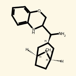 CN1[C@@H]2CC[C@H]1C[C@@H](C(N)C1COc3ccccc3N1)C2